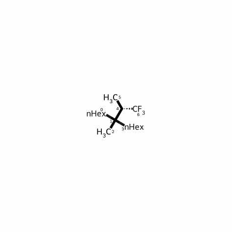 CCCCCCC(C)(CCCCCC)[C@H](C)C(F)(F)F